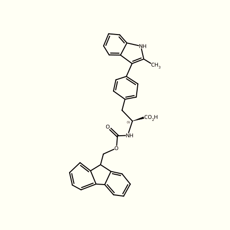 Cc1[nH]c2ccccc2c1-c1ccc(C[C@H](NC(=O)OCC2c3ccccc3-c3ccccc32)C(=O)O)cc1